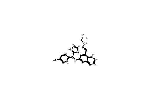 CCO/N=C/c1cc(OC(c2ccc(F)cn2)c2nnco2)cc2cccnc12